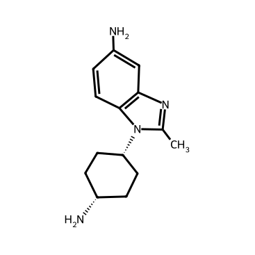 Cc1nc2cc(N)ccc2n1[C@H]1CC[C@@H](N)CC1